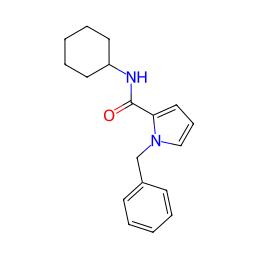 O=C(NC1CCCCC1)c1cccn1Cc1ccccc1